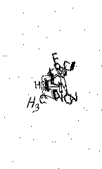 C[C@@H]1C[C@H](NC(=O)OC(C)(C)C)CN(c2ccncc2NCc2ccc(F)c(Cl)c2)C1